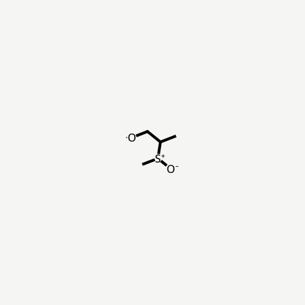 CC(C[O])[S+](C)[O-]